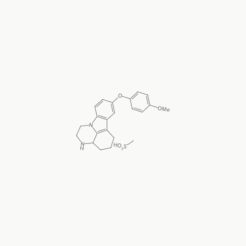 COc1ccc(Oc2ccc3c(c2)c2c4n3CCNC4CCC2)cc1.CS(=O)(=O)O